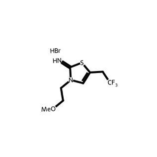 Br.COCCn1cc(CC(F)(F)F)sc1=N